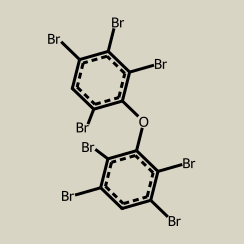 Brc1cc(Br)c(Oc2c(Br)c(Br)cc(Br)c2Br)c(Br)c1Br